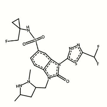 CC1CC(Cn2c(=O)n(-c3nnc(C(F)F)s3)c3cc(S(=O)(=O)NC4(CF)CC4)ccc32)N(C)N1